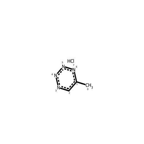 Cc1cnnnn1.Cl